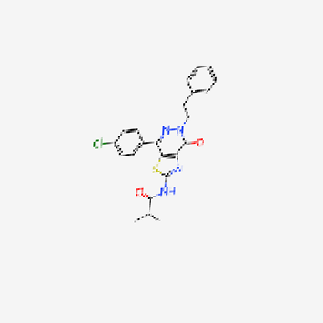 CC(C)C(=O)Nc1nc2c(=O)n(CCc3ccccc3)nc(-c3ccc(Cl)cc3)c2s1